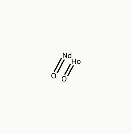 [O]=[Ho].[O]=[Nd]